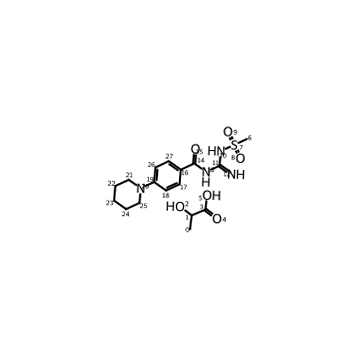 CC(O)C(=O)O.CS(=O)(=O)NC(=N)NC(=O)c1ccc(N2CCCCC2)cc1